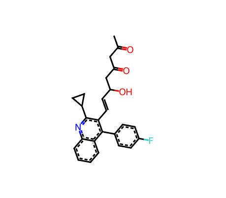 CC(=O)CC(=O)CC(O)/C=C/c1c(C2CC2)nc2ccccc2c1-c1ccc(F)cc1